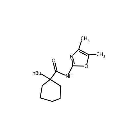 CCCCC1(C(=O)Nc2nc(C)c(C)o2)CCCCC1